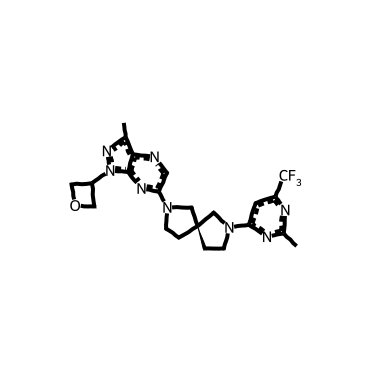 Cc1nc(N2CC[C@]3(CCN(c4cnc5c(C)nn(C6COC6)c5n4)C3)C2)cc(C(F)(F)F)n1